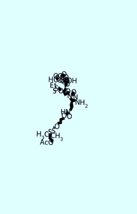 CCS(=S)COC1C[C@H](n2cc(C#CCNC(=O)OCCCCOCSSC(C)(C)CCOC(C)=O)c(N)nc2=O)O[C@@H]1COP(=O)(O)OP(=O)(O)OP(=O)(O)O